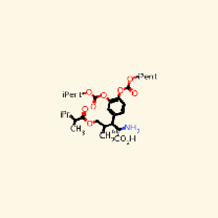 CCCC(C)OC(=O)Oc1ccc(C(C(C)COC(=O)C(C)C(C)C)[C@H](N)C(=O)O)cc1OC(=O)OC(C)CCC